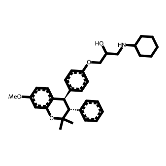 COc1ccc2c(c1)OC(C)(C)[C@@H](c1ccccc1)[C@@H]2c1ccc(OCC(O)CNC2CCCCC2)cc1